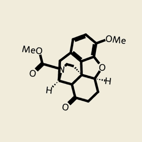 COC(=O)N1CC[C@]23c4c5ccc(OC)c4O[C@H]2CCC(=O)C3[C@H]1C5